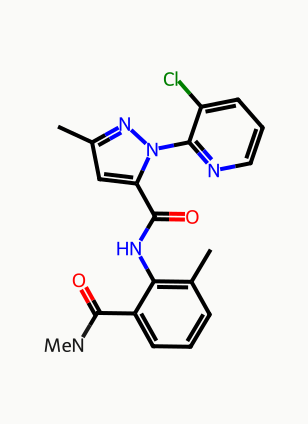 CNC(=O)c1cccc(C)c1NC(=O)c1cc(C)nn1-c1ncccc1Cl